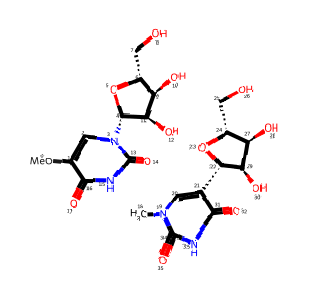 COc1cn([C@@H]2O[C@H](CO)[C@@H](O)[C@H]2O)c(=O)[nH]c1=O.Cn1cc([C@@H]2O[C@H](CO)[C@@H](O)[C@H]2O)c(=O)[nH]c1=O